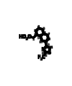 O=C(O)Cc1cccc2ccc(-c3csc(C(F)(F)F)n3)cc12